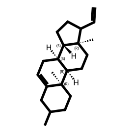 C=CC1CC[C@H]2[C@@H]3CC=C4CC(C)CC[C@]4(C)[C@@H]3CC[C@]12C